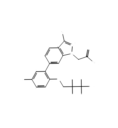 NC(=O)Cn1nc(N)c2ccc(-c3cc(F)ccc3OCC(F)(F)C(F)(F)F)cc21